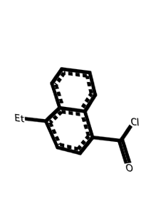 CCc1ccc(C(=O)Cl)c2ccccc12